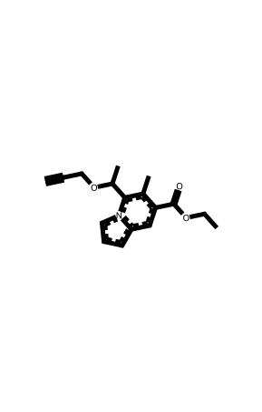 C#CCOC(C)c1c(C)c(C(=O)OCC)cc2cccn12